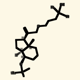 C=C(COCCCC(O)(CC)CC)[C@@H]1CC[C@@H]2[C@H](O[Si](C)(C)C(C)(C)C)CCC[C@]21C